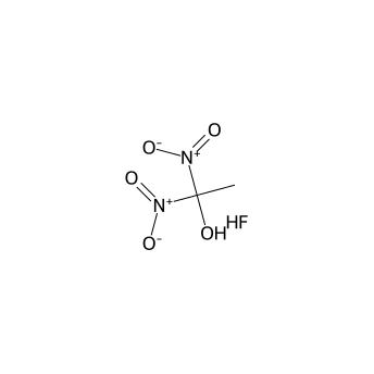 CC(O)([N+](=O)[O-])[N+](=O)[O-].F